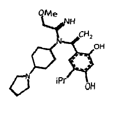 C=C(c1cc(C(C)C)c(O)cc1O)N(C(=N)COC)C1CCC(N2CCCC2)CC1